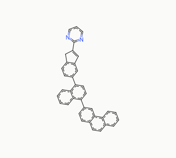 C1=C(c2ncccn2)Cc2ccc(-c3ccc(-c4ccc5ccc6ccccc6c5c4)c4ccccc34)cc21